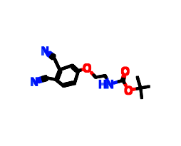 CC(C)(C)OC(=O)NCCOc1ccc(C#N)c(C#N)c1